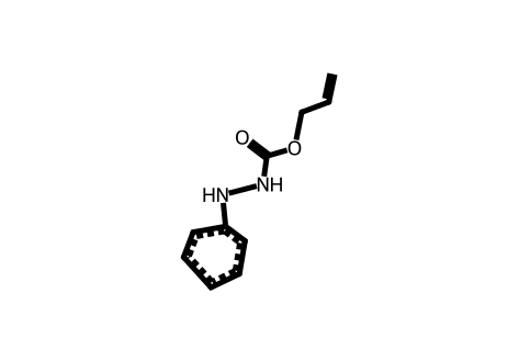 C=CCOC(=O)NNc1ccccc1